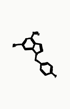 O=[N+]([O-])c1cc(Br)cc2c1ccn2Cc1ccc(F)cc1